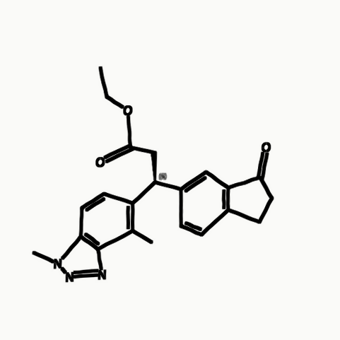 CCOC(=O)C[C@@H](c1ccc2c(c1)C(=O)CC2)c1ccc2c(nnn2C)c1C